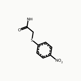 [NH]C(=O)CSc1ccc([N+](=O)[O-])cc1